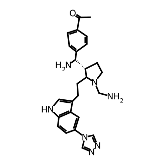 CC(=O)c1ccc(C(N)[C@@H]2CCN(CN)C2CCc2c[nH]c3ccc(-n4cnnc4)cc23)cc1